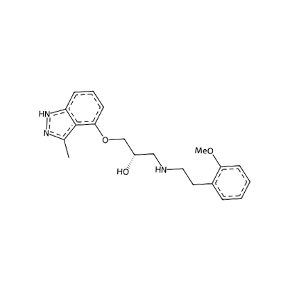 COc1ccccc1CCNC[C@H](O)COc1cccc2[nH]nc(C)c12